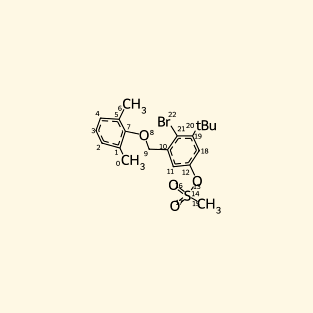 Cc1cccc(C)c1OCc1cc(OS(C)(=O)=O)cc(C(C)(C)C)c1Br